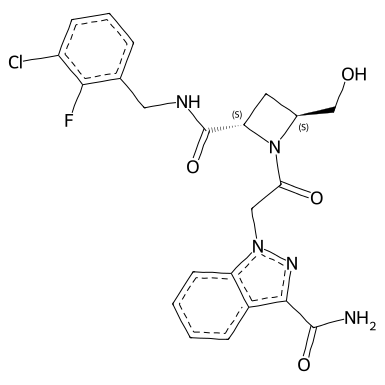 NC(=O)c1nn(CC(=O)N2[C@H](CO)C[C@H]2C(=O)NCc2cccc(Cl)c2F)c2ccccc12